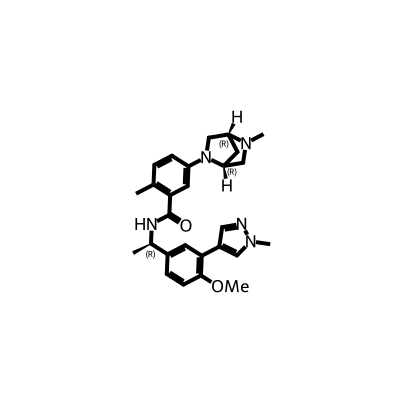 COc1ccc([C@@H](C)NC(=O)c2cc(N3C[C@H]4C[C@@H]3CN4C)ccc2C)cc1-c1cnn(C)c1